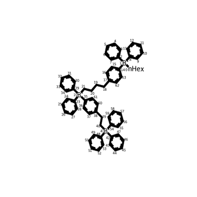 CCCCCC[B-](c1ccccc1)(c1ccccc1)c1ccc(CCCC[B-](c2ccccc2)(c2ccccc2)c2ccc(CC[B-](c3ccccc3)(c3ccccc3)c3ccccc3)cc2)cc1